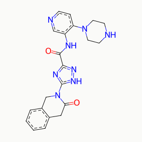 O=C(Nc1cnccc1N1CCNCC1)c1n[nH]c(N2Cc3ccccc3CC2=O)n1